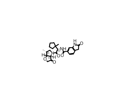 C[C@@H]1CN(C(=O)[C@@H](NC(=O)c2ccc3c(c2)NC(=O)C3)C2(C)CCCC2)[C@@H]2C(=O)CO[C@H]12